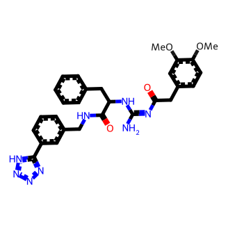 COc1ccc(CC(=O)N=C(N)NC(Cc2ccccc2)C(=O)NCc2cccc(-c3nnn[nH]3)c2)cc1OC